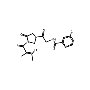 C=C(C(C)=C(C)Cl)N1CN(C(=O)CNC(=O)c2cccc(Cl)c2)CC1=O